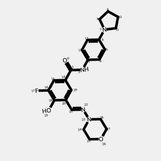 O=C(Nc1ccc(N2CCCC2)cc1)c1cc(F)c(O)c(C=NN2CCOCC2)c1